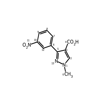 Cn1cc(C(=O)O)c(-c2cccc([N+](=O)[O-])c2)n1